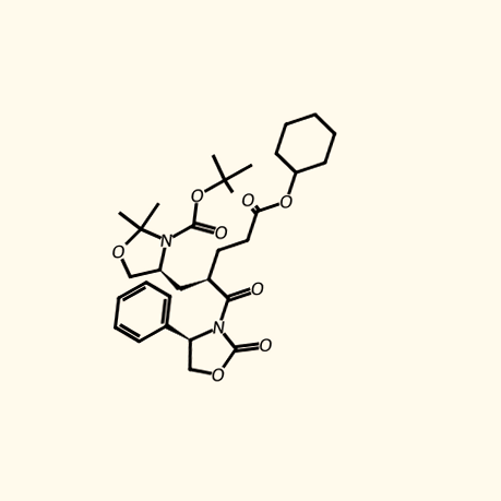 CC(C)(C)OC(=O)N1[C@@H](C[C@@H](CCC(=O)OC2CCCCC2)C(=O)N2C(=O)OC[C@H]2c2ccccc2)COC1(C)C